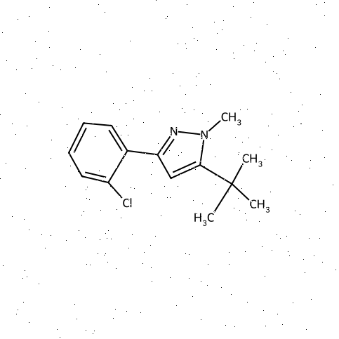 Cn1nc(-c2ccccc2Cl)cc1C(C)(C)C